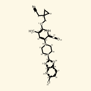 CC1=C(OCC2(CC#N)CC2)NC(=C=O)C(N2CCN(c3nc4nc(Cl)ccc4o3)CC2)=C1